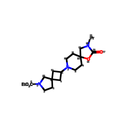 CCOC(=O)N1CCC2(CC(N3CCC4(CC3)CN(C(C)C)C(=O)O4)C2)C1